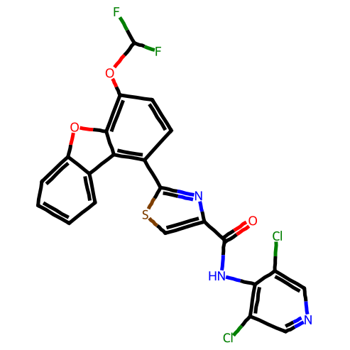 O=C(Nc1c(Cl)cncc1Cl)c1csc(-c2ccc(OC(F)F)c3oc4ccccc4c23)n1